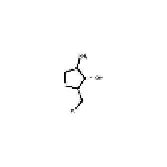 NC1CO[C@H](CO)[C@H]1O